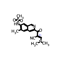 Cc1cc2cc(C(=O)/C(C#N)=C/N(C)C)ncc2cc1NS(C)(=O)=O